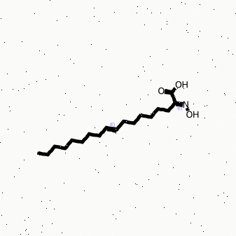 CCCCCCCC/C=C/CCCCCC/C(=N\O)C(=O)O